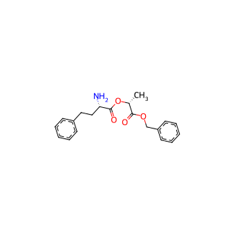 C[C@@H](OC(=O)[C@@H](N)CCc1ccccc1)C(=O)OCc1ccccc1